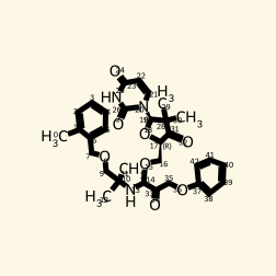 Cc1ccccc1COCC(C)(C)NC(OC[C@H]1O[C@@H](n2ccc(=O)[nH]c2=O)C(C)(C)C1=O)C(=O)COc1ccccc1